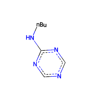 CCCCNc1ncncn1